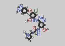 COc1cc2ncnc(Nc3cc(Cl)c(Oc4ccc5c(c4)ncn5C)cc3OC)c2cc1NC(=O)/C(F)=C/C1CCCN1C